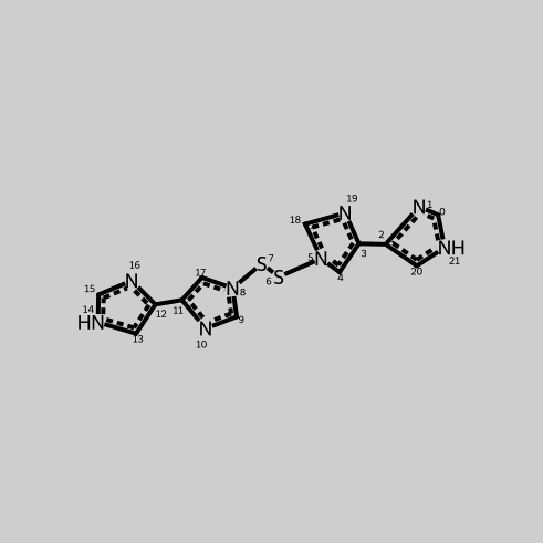 c1nc(-c2cn(SSn3cnc(-c4c[nH]cn4)c3)cn2)c[nH]1